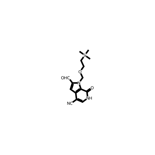 C[Si](C)(C)CCOCn1c(C=O)cc2c(C#N)c[nH]c(=O)c21